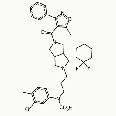 Cc1ccc(N(CCCN2CC3CN(C(=O)c4c(-c5ccccc5)noc4C)CC3C2)C(=O)O)cc1Cl.FC1(F)CCCCC1